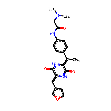 C/C(c1ccc(NC(=O)CN(C)C)cc1)=c1/[nH]c(=O)/c(=C/c2ccoc2)[nH]c1=O